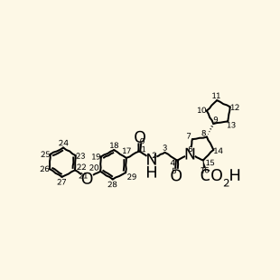 O=C(NCC(=O)N1C[C@H](C2CCCC2)C[C@H]1C(=O)O)c1ccc(Oc2ccccc2)cc1